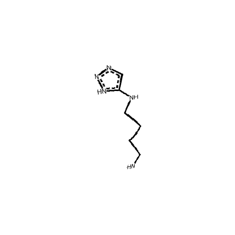 [NH]CCCCNc1cnn[nH]1